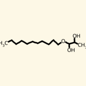 CCCCCCCCCCCOC(O)C(C)O